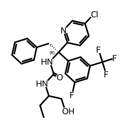 CCC(CO)NC(=O)N[C@](Cc1ccccc1)(c1cc(F)cc(C(F)(F)F)c1)c1ccc(Cl)cn1